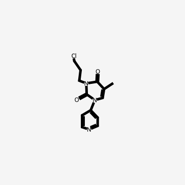 Cc1cn(-c2ccncc2)c(=O)n(CCCCl)c1=O